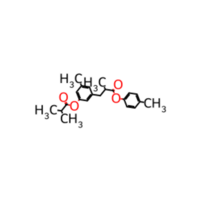 Cc1ccc(OC(=O)C(C)Cc2cc(C)cc(OC(=O)C(C)C)c2)cc1